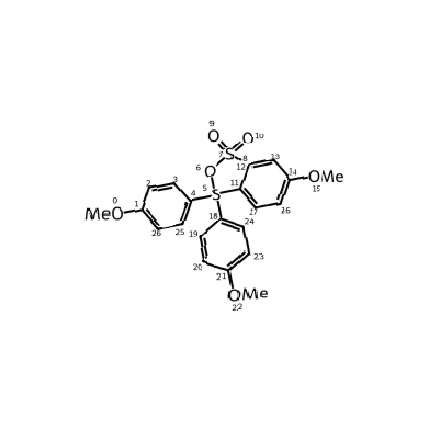 COc1ccc(S(OS(C)(=O)=O)(c2ccc(OC)cc2)c2ccc(OC)cc2)cc1